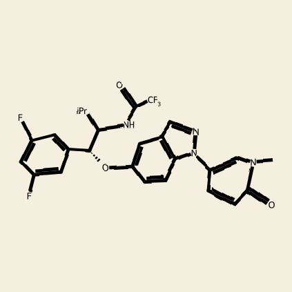 CC(C)C(NC(=O)C(F)(F)F)[C@H](Oc1ccc2c(cnn2-c2ccc(=O)n(C)c2)c1)c1cc(F)cc(F)c1